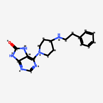 O=c1[nH]c2ncnc(N3CCC(NCCc4ccccc4)CC3)c2[nH]1